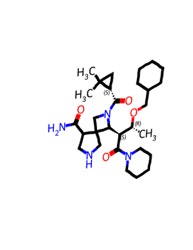 C[C@@H](OCC1CCCCC1)[C@@H](C(=O)N1CCCCC1)C1N(C(=O)[C@H]2CC2(C)C)CC12CNCC2C(N)=O